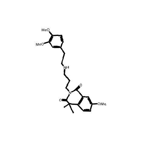 COc1ccc2c(c1)C(=O)N(CCCNCCc1ccc(OC)c(OC)c1)C(=O)C2(C)C